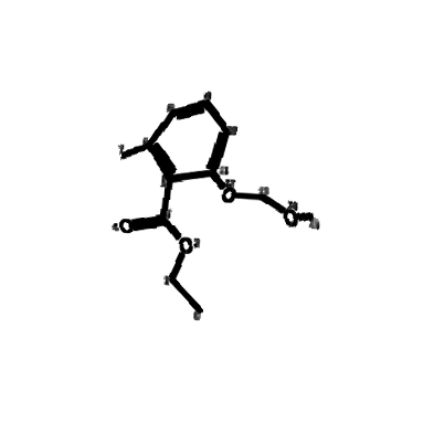 CCOC(=O)c1c(C)cccc1OCOC